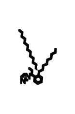 CCCCCCCCCCCCC[C@H](CCCCCCCC)c1ccccc1C(CC)n1ccnc1